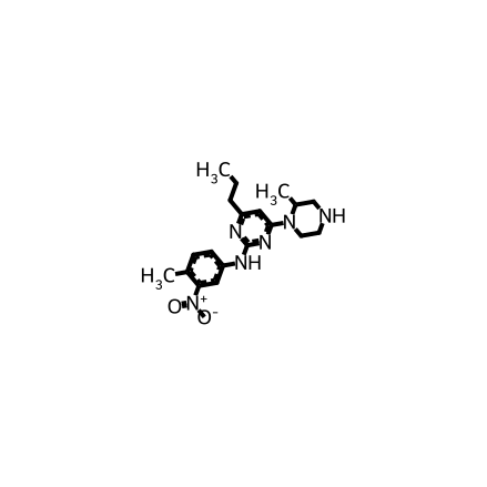 CCCc1cc(N2CCNCC2C)nc(Nc2ccc(C)c([N+](=O)[O-])c2)n1